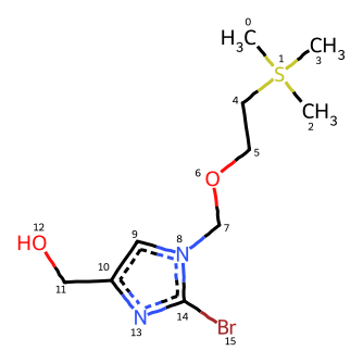 CS(C)(C)CCOCn1cc(CO)nc1Br